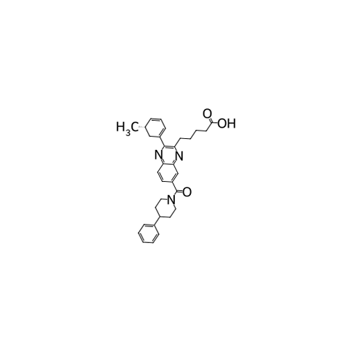 C[C@@H]1C=CC=C(c2nc3ccc(C(=O)N4CCC(c5ccccc5)CC4)cc3nc2CCCCC(=O)O)C1